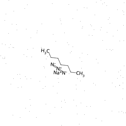 CCCCCCC.[N-]=[N+]=[N-].[Na+]